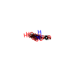 COc1ccc(COC(=O)Nc2ccn([C@]3(O)O[C@H](CO)[C@@H](O)[C@@]3(C)O)c(=O)n2)cc1